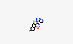 COc1c(-c2nc3cncnc3[nH]2)c(S)cc2cc(C)ccc12